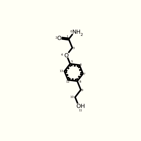 NC(=O)COc1ccc([CH]CO)cc1